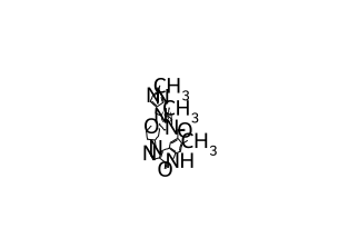 Cc1ncc(CN2CCN(C(=O)c3cc4c(cc3C)[nH]c(=O)c3cnn(C5CCOCC5)c34)C[C@@H]2C)cn1